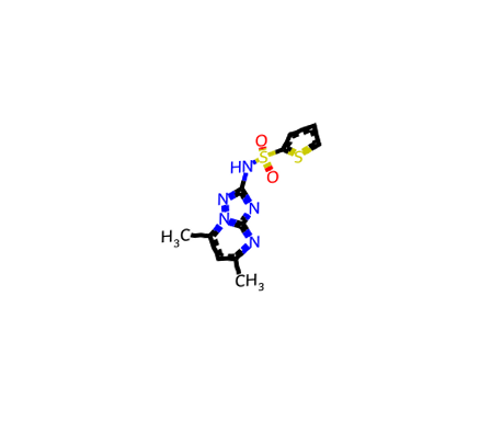 Cc1cc(C)n2nc(NS(=O)(=O)c3cccs3)nc2n1